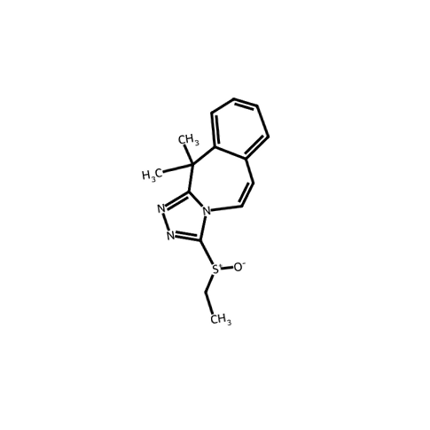 CC[S+]([O-])c1nnc2n1C=Cc1ccccc1C2(C)C